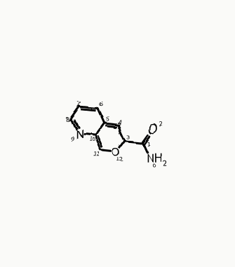 NC(=O)C1C=c2cccnc2=CO1